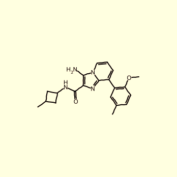 COc1ccc(C)cc1-c1cccn2c(N)c(C(=O)NC3CC(C)C3)nc12